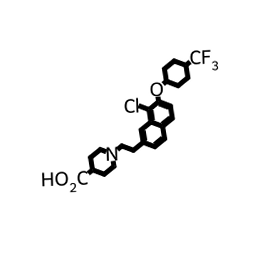 O=C(O)C1CCN(CCc2ccc3ccc(OC4CCC(C(F)(F)F)CC4)c(Cl)c3c2)CC1